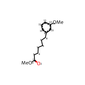 COC(=O)CCCCCCc1cccc(OC)c1